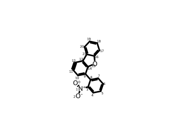 O=[N+]([O-])c1ccccc1-c1cc#cc2c1oc1ccccc12